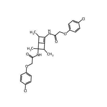 CC1C(NC(=O)COc2ccc(Cl)cc2)=C2C(C)C(C)(NC(=O)COc3ccc(Cl)cc3)C21